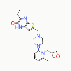 CCc1nc2sc(CN3CCN(C4C=CC=C(C)N4CC4COC4)CC3)cc2[nH]c1=O